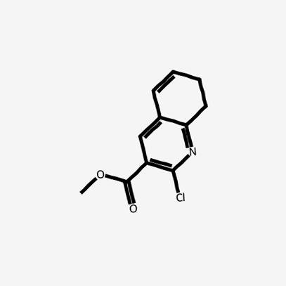 COC(=O)c1cc2c(nc1Cl)CCC=C2